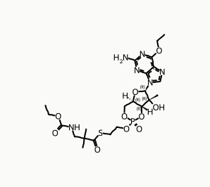 CCOC(=O)NCC(C)(C)C(=O)SCCOP1(=O)OC[C@H]2O[C@@H](n3cnc4c(OCC)nc(N)nc43)[C@](C)(O)[C@@H]2O1